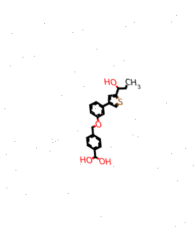 CCC(O)c1cc(-c2cccc(OCc3ccc(C(O)O)cc3)c2)cs1